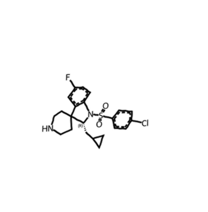 O=S(=O)(c1ccc(Cl)cc1)N1c2ccc(F)cc2C2(CCNCC2)[C@H]1CC1CC1